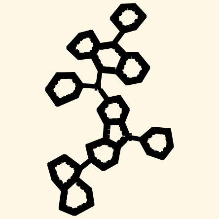 c1ccc(-c2c3ccccc3c(N(c3ccccc3)c3ccc4c(c3)c3cc(-c5cccc6ccccc56)ccc3n4-c3ccccc3)c3ccccc23)cc1